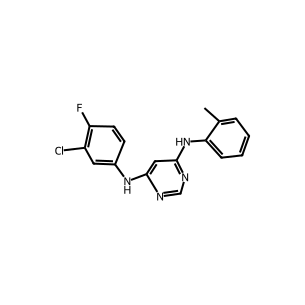 Cc1ccccc1Nc1cc(Nc2ccc(F)c(Cl)c2)ncn1